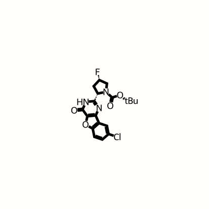 CC(C)(C)OC(=O)N1C[C@@H](F)C[C@H]1c1nc2c(oc3ccc(Cl)cc32)c(=O)[nH]1